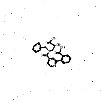 O=C(O)c1ccccc1-c1cc(C(=O)N(Cc2ccccc2)C[C@@H](O)C(=O)O)ccn1